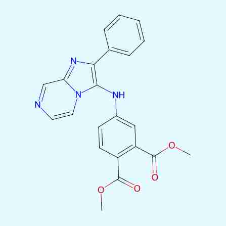 COC(=O)c1ccc(Nc2c(-c3ccccc3)nc3cnccn23)cc1C(=O)OC